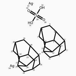 C1C2CC3C4CC5CC(C14)C(C2)C3C5.C1C2CC3C4CC5CC(C14)C(C2)C3C5.O=S(=O)(O)O.[Ag].[Ag]